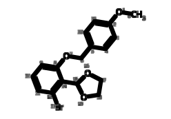 COc1ccc(COc2cccc(Br)c2C2OCCO2)cc1